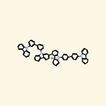 C1=CC2C3=C(C=CCC3)N(c3ccc(-c4ccc(N5C6=C(C(c7ccc8c9ccccc9n(-c9cccc(-c%10cccc(-n%11c%12ccccc%12c%12ccccc%12%11)c%10)c9)c8c7)CC=C6)[C@@H]6C=CC=CC65)cc4)cc3)C2C=C1